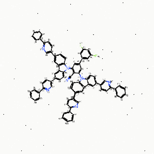 N#Cc1c(-n2c3ccc(-c4ccc(-c5ccccc5)nc4)cc3c3cc(-c4ccc(-c5ccccc5)nc4)ccc32)cc(-c2cc(F)cc(F)c2)cc1-n1c2ccc(-c3ccc(-c4ccccc4)nc3)cc2c2cc(-c3ccc(-c4ccccc4)nc3)ccc21